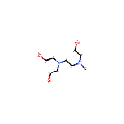 CCN(CCO)CCN(CCO)CCO